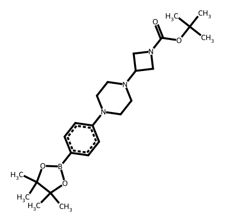 CC(C)(C)OC(=O)N1CC(N2CCN(c3ccc(B4OC(C)(C)C(C)(C)O4)cc3)CC2)C1